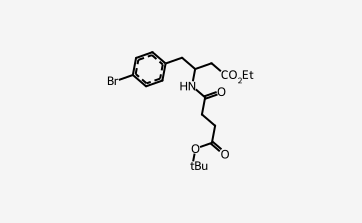 CCOC(=O)CC(Cc1ccc(Br)cc1)NC(=O)CCC(=O)OC(C)(C)C